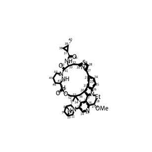 CCn1c(-c2cc(N3CC4CC(C3)N4C)cnc2[C@H](C)OC)c2c3cc(ccc31)-c1csc(n1)C[C@H](NC(=O)[C@H]1C[C@@H]1C)C(=O)N1CCC[C@H](N1)C(=O)OCC(C)(C)C2